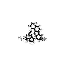 CC(C)(C)C1=[C]([Zr+2]2([CH]3c4ccccc4-c4ccc5ccccc5c43)[CH2][CH2]2)CC=C1.[Cl-].[Cl-]